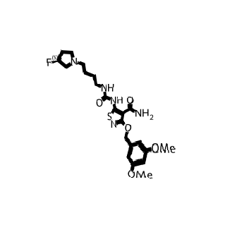 COc1cc(COc2nsc(NC(=O)NCCCCN3CC[C@H](F)C3)c2C(N)=O)cc(OC)c1